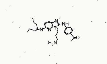 CCCC(CCC)Nc1ccc2nc(Nc3ccc(C(C)=O)cc3)n(CCCN)c2n1